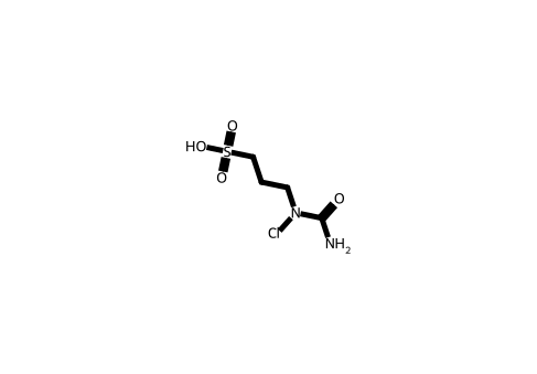 NC(=O)N(Cl)CCCS(=O)(=O)O